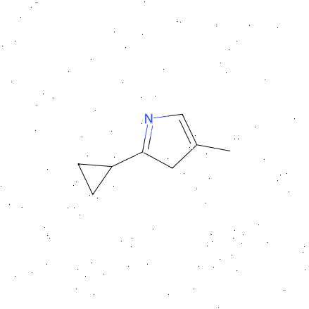 CC1=CN=C(C2CC2)C1